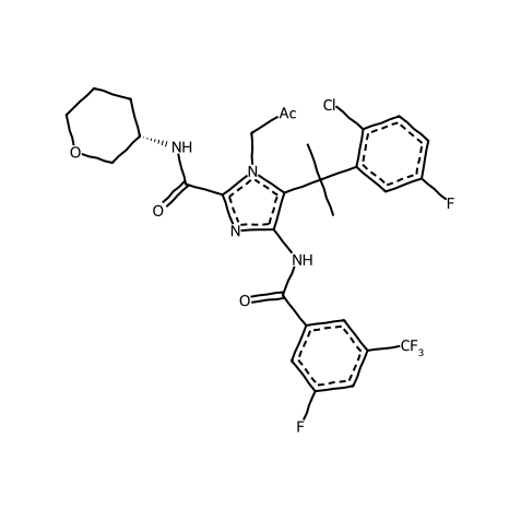 CC(=O)Cn1c(C(=O)N[C@H]2CCCOC2)nc(NC(=O)c2cc(F)cc(C(F)(F)F)c2)c1C(C)(C)c1cc(F)ccc1Cl